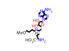 COCCCCN[C@@H](CC[C@H](N)C(=O)O)C[C@H]1O[C@@H](n2cnc3c(N)ncnc32)C(O)[C@H]1O